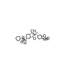 CC1c2ccc(NS(=O)(=O)c3ccccc3)cc2C(=O)N1Cc1ccc2[nH]c(=O)oc2c1